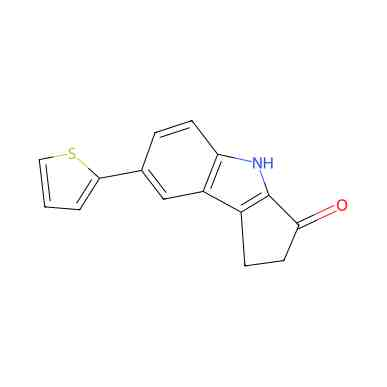 O=C1CCc2c1[nH]c1ccc(-c3cccs3)cc21